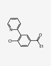 CCC(=O)c1ccc(Cl)c(-c2ccccn2)c1